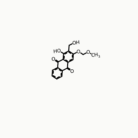 COCOc1cc2c(c(O)c1CO)C(=O)c1ccccc1C2=O